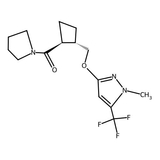 Cn1nc(OC[C@H]2CC[C@@H]2C(=O)N2CCCC2)cc1C(F)(F)F